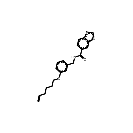 C=CCCCCOc1cccc(CNC(=O)c2ccc3ncsc3c2)c1